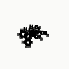 C=C[SiH](C)C.C=C[SiH](C)C.c1ccc(-c2ccccc2)cc1